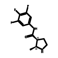 C[C@@H]1NCC[C@@H]1C(=O)Nc1cc(F)c(F)c(F)c1